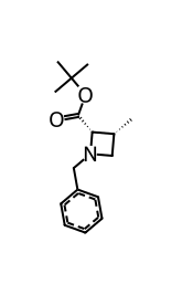 C[C@@H]1CN(Cc2ccccc2)[C@@H]1C(=O)OC(C)(C)C